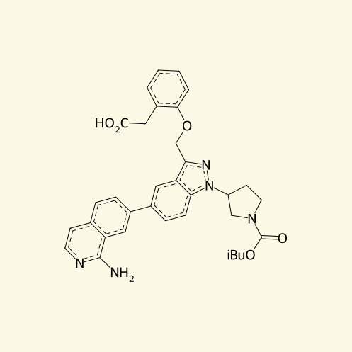 CC(C)COC(=O)N1CCC(n2nc(COc3ccccc3CC(=O)O)c3cc(-c4ccc5ccnc(N)c5c4)ccc32)C1